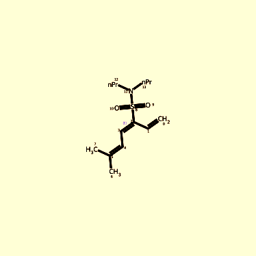 C=C/C(=C\C=C(C)C)S(=O)(=O)N(CCC)CCC